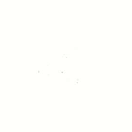 CCC(=O)OC(=O)C(O)(Cc1ccccc1)Cc1ccccc1